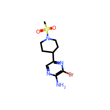 CS(=O)(=O)N1CCC(c2cnc(N)c(Br)n2)CC1